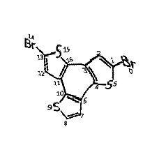 Brc1cc2c(s1)c1ccsc1c1cc(Br)sc12